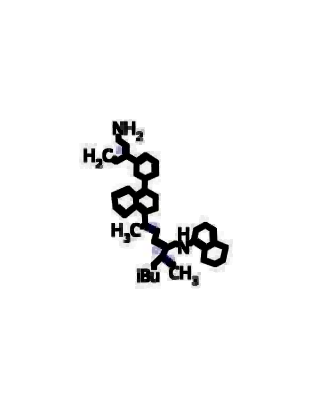 C=C/C(=C\CN)C1=CC=CC(C2=c3ccccc3=C(/C(C)=C/C=C(CNC3=C4CCCCC4=CCC3)/C(=C/C)CC(C)CC)CC2)C1